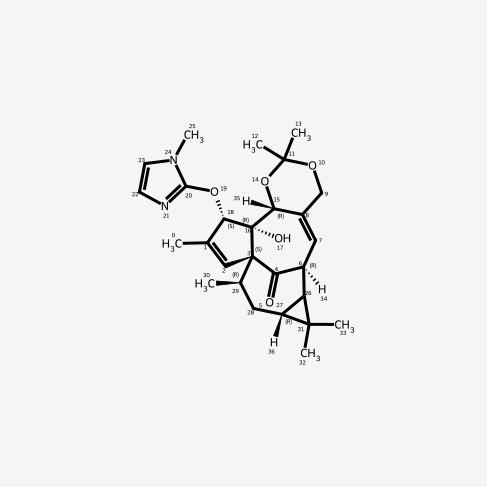 CC1=C[C@]23C(=O)[C@@H](C=C4COC(C)(C)O[C@H]4[C@]2(O)[C@H]1Oc1nccn1C)C1[C@@H](C[C@H]3C)C1(C)C